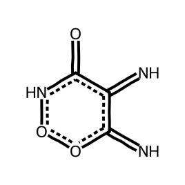 N=c1oo[nH]c(=O)c1=N